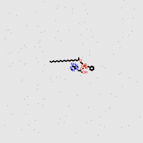 CCCCCCCCCCCCCCCCC(C)OCCO[P@@](=O)(CO[C@@H](CO)Cn1cnc2c(N)ncnc21)OCc1ccccc1